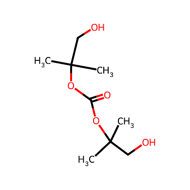 CC(C)(CO)OC(=O)OC(C)(C)CO